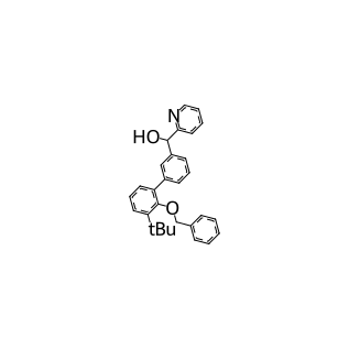 CC(C)(C)c1cccc(-c2cccc(C(O)c3ccccn3)c2)c1OCc1ccccc1